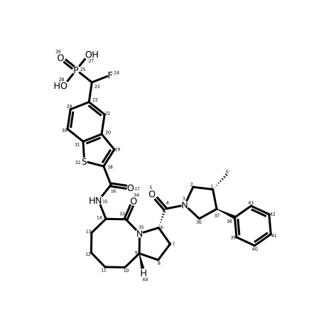 C[C@H]1CN(C(=O)[C@@H]2CC[C@@H]3CCCCC(NC(=O)c4cc5cc(C(F)P(=O)(O)O)ccc5s4)C(=O)N32)C[C@@H]1c1ccccc1